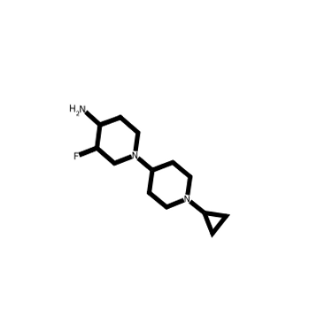 NC1CCN(C2CCN(C3CC3)CC2)CC1F